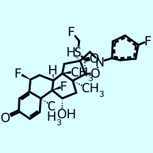 C[C@]12C[C@H](O)[C@@]3(F)[C@@H](C[C@H](F)C4=CC(=O)C=C[C@@]43C)[C@]1(C)C[C@H]1CN(c3ccc(F)cc3)O[C@]12C(=O)SCF